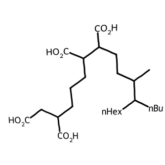 CCCCCCC(CCCC)C(C)CCC(C(=O)O)C(CCCC(CC(=O)O)C(=O)O)C(=O)O